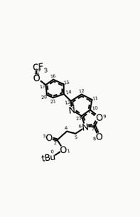 CC(C)(C)OC(=O)CCn1c(=O)oc2ccc(-c3ccc(OC(F)(F)F)cc3)nc21